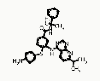 CC(C)c1ccc2c(Nc3cc(C(=O)NC(C)(C)c4ccccc4)ccc3Sc3ccc(N)cc3)ncnc2n1